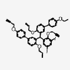 C#CCOc1ccc(-c2ccc(OCC=C)c(C(c3cc(-c4ccc(OCC)cc4)ccc3OCC=C)c3cc(I)cc(I)c3OCC#C)c2)cc1